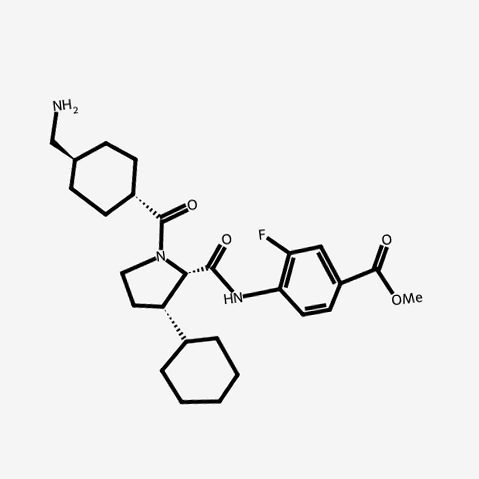 COC(=O)c1ccc(NC(=O)[C@@H]2[C@H](C3CCCCC3)CCN2C(=O)[C@H]2CC[C@H](CN)CC2)c(F)c1